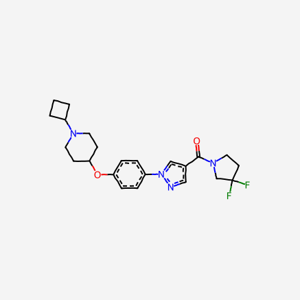 O=C(c1cnn(-c2ccc(OC3CCN(C4CCC4)CC3)cc2)c1)N1CCC(F)(F)C1